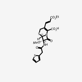 CCOC(=O)C=CC1=C(C(=O)O)N2C(=O)[C@](NC(=O)Cc3cccs3)(OC)[C@@H]2SC1